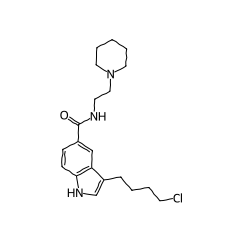 O=C(NCCN1CCCCC1)c1ccc2[nH]cc(CCCCCl)c2c1